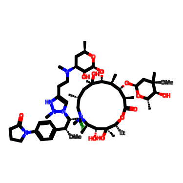 CC[C@H]1OC(=O)[C@H](C)[C@@H](O[C@H]2C[C@@](C)(OC)[C@@H](O)[C@H](C)O2)[C@H](C)[C@@H](O[C@@H]2O[C@H](C)C[C@H](N(C)CCC3=CN([C@H](CF)[C@H](OC)c4ccc(N5CCCC5=O)cc4)N(C)N3)[C@H]2O)[C@](C)(O)C[C@@H](C)CN(C)[C@H](C)[C@@H](O)[C@]1(C)O